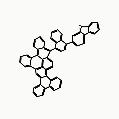 c1ccc(-c2c3ccccc3c(-c3ccc(-c4ccc5c(c4)oc4ccccc45)c4ccccc34)c3ccccc23)c(-c2ccc3c4ccccc4c4ccccc4c3c2)c1